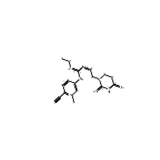 C#CC(=C)/C=C\C(=C/CC)OC(/N=C\CN1CCC(=O)NC1=O)=N/CC